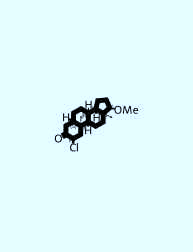 CO[C@H]1CC[C@H]2[C@@H]3CC[C@H]4CC(=O)[C@H](Cl)C[C@]4(C)[C@H]3CC[C@]12C